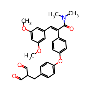 COc1cc(/C=C(/C(=O)N(C)C)c2ccc(Oc3ccc(CC(C=O)C=O)cc3)cc2)cc(OC)c1